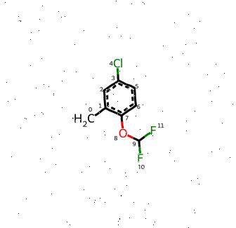 [CH2]c1cc(Cl)ccc1OC(F)F